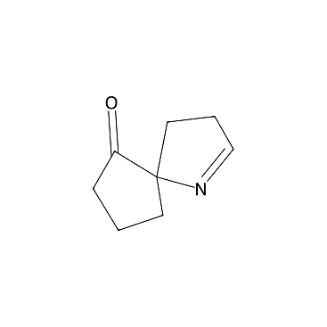 O=C1CCCC12CCC=N2